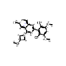 C/C=c1/nc(-c2c(Cl)c(OC)cc(OC)c2Cl)nc(N2CC(OC)C2)/c1=C/CCl